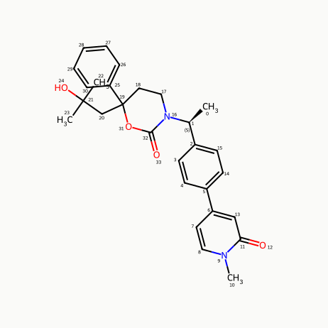 C[C@@H](c1ccc(-c2ccn(C)c(=O)c2)cc1)N1CCC(CC(C)(C)O)(c2ccccc2)OC1=O